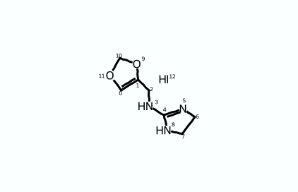 C1=C(CNC2=NCCN2)OCO1.I